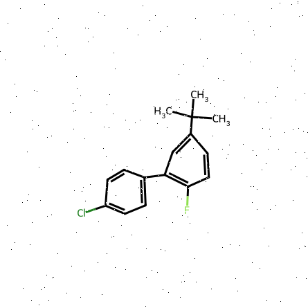 CC(C)(C)c1ccc(F)c(-c2ccc(Cl)cc2)c1